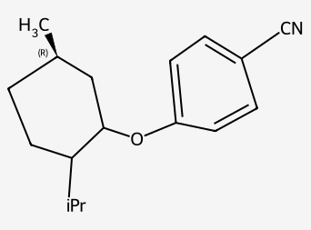 CC(C)C1CC[C@@H](C)CC1Oc1ccc(C#N)cc1